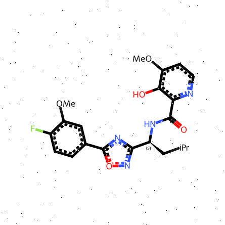 COc1cc(-c2nc([C@H](CC(C)C)NC(=O)c3nccc(OC)c3O)no2)ccc1F